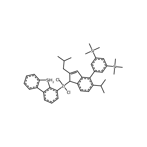 CC(C)CC1=Cc2c(ccc(C(C)C)c2-c2cc([Si](C)(C)C)cc([Si](C)(C)C)c2)[CH]1[Zr]([Cl])([Cl])[c]1cccc2c1[SiH2]c1ccccc1-2